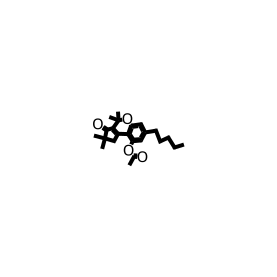 CCCCCc1cc(OC(C)=O)c2c(c1)OC(C)(C)C1=C2CC(C)(C)C1=O